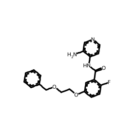 Nc1cnccc1NC(=O)c1cc(OCCOCc2ccccc2)ccc1F